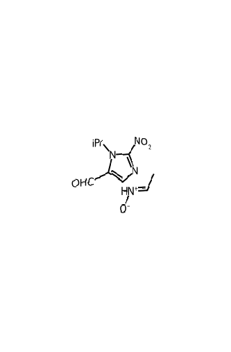 CC(C)n1c(C=O)cnc1[N+](=O)[O-].CC=[NH+][O-]